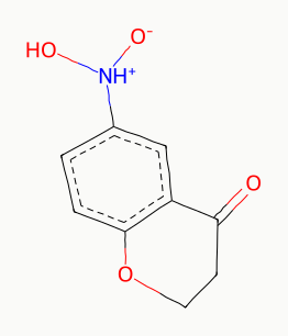 O=C1CCOc2ccc([NH+]([O-])O)cc21